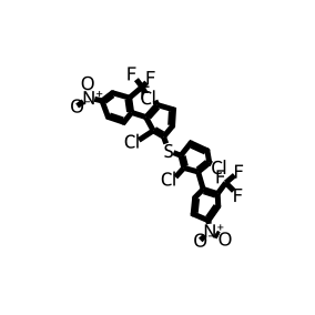 O=[N+]([O-])c1ccc(-c2c(Cl)ccc(Sc3ccc(Cl)c(-c4ccc([N+](=O)[O-])cc4C(F)(F)F)c3Cl)c2Cl)c(C(F)(F)F)c1